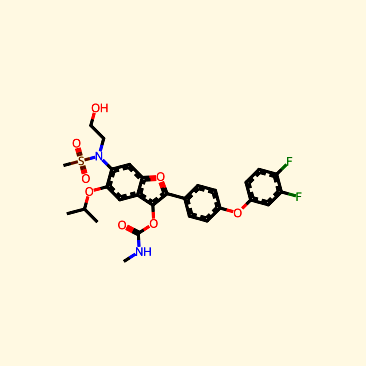 CNC(=O)Oc1c(-c2ccc(Oc3ccc(F)c(F)c3)cc2)oc2cc(N(CCO)S(C)(=O)=O)c(OC(C)C)cc12